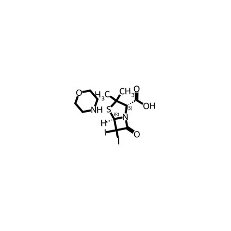 C1COCCN1.CC1(C)S[C@H]2N(C(=O)C2(I)I)[C@H]1C(=O)O